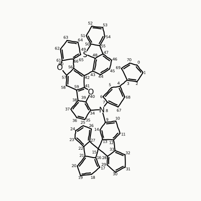 c1ccc(-c2ccc(N(c3ccc4c(c3)C3(c5ccccc5-c5ccccc53)c3ccccc3-4)c3cccc4c3oc3c(-c5cccc6c5sc5ccccc56)c5c(cc34)oc3ccccc35)cc2)cc1